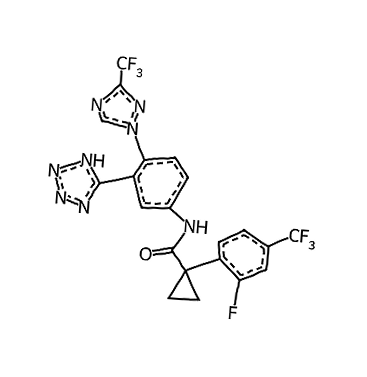 O=C(Nc1ccc(-n2cnc(C(F)(F)F)n2)c(-c2nnn[nH]2)c1)C1(c2ccc(C(F)(F)F)cc2F)CC1